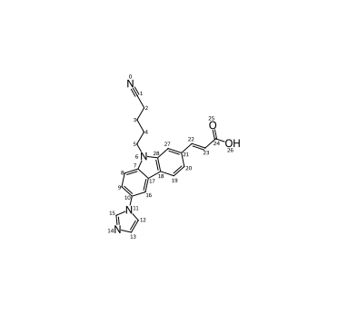 N#CCCCCn1c2ccc(-n3ccnc3)cc2c2ccc(/C=C/C(=O)O)cc21